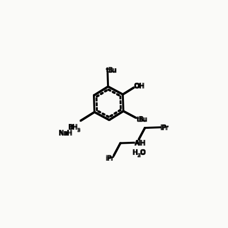 B.CC(C)[CH2][AlH][CH2]C(C)C.Cc1cc(C(C)(C)C)c(O)c(C(C)(C)C)c1.O.[NaH]